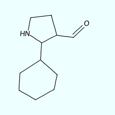 O=CC1CCNC1C1CCCCC1